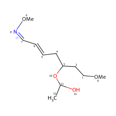 COCCC(CC=C/C=N\OC)OC(C)O